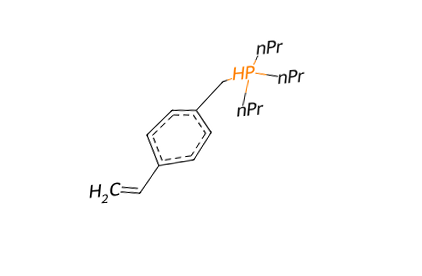 C=Cc1ccc(C[PH](CCC)(CCC)CCC)cc1